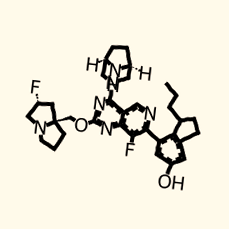 CCCC1CCc2cc(O)cc(-c3ncc4c(N5C[C@H]6CC[C@@H](C5)N6)nc(OC[C@@]56CCCN5C[C@H](F)C6)nc4c3F)c21